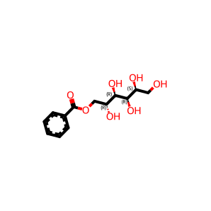 O=C(OC[C@@H](O)[C@@H](O)[C@H](O)[C@@H](O)CO)c1ccccc1